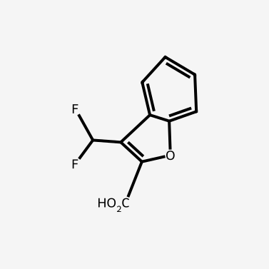 O=C(O)c1oc2ccccc2c1C(F)F